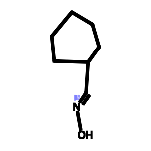 O/N=C/C1CCCCC1